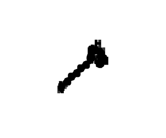 Cc1nc(Nc2ncc(C(=O)Nc3c(C)cccc3Cl)s2)cc(N2CCN(CCOCCOCCOCCOCCOCCN=[N+]=[N-])CC2)n1